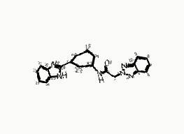 O=C(Cn1nc2ccccc2n1)NC1CCCC(c2nc3ccccc3[nH]2)C1